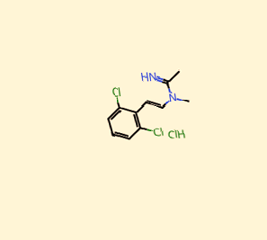 CC(=N)N(C)C=Cc1c(Cl)cccc1Cl.Cl